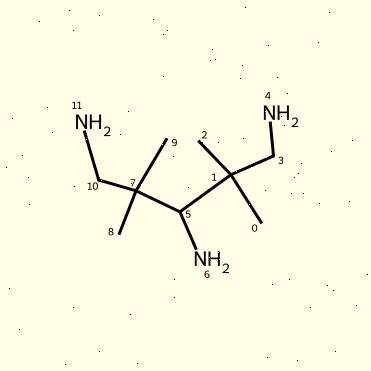 CC(C)(CN)C(N)C(C)(C)CN